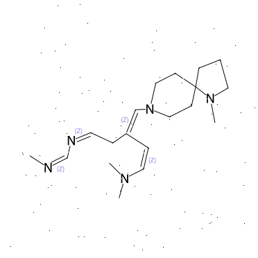 C/N=C\N=C/CC(/C=C\N(C)C)=C/N1CCC2(CCCN2C)CC1